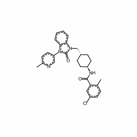 Cc1ccc(-n2c(=O)n(C[C@H]3CC[C@H](NC(=O)c4cc(Cl)ccc4C)CC3)c3ccccc32)cn1